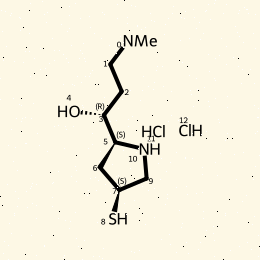 CNCC[C@@H](O)[C@@H]1C[C@H](S)CN1.Cl.Cl